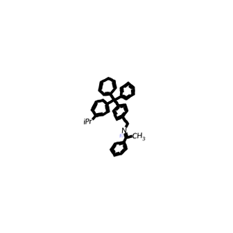 C/C(=N\Cc1ccc(C(C2=CC=CCC=C2)(C2=CC=C(C(C)C)C=CC2)c2ccccc2)cc1)c1ccccc1